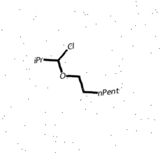 CCCCCCCOC(Cl)C(C)C